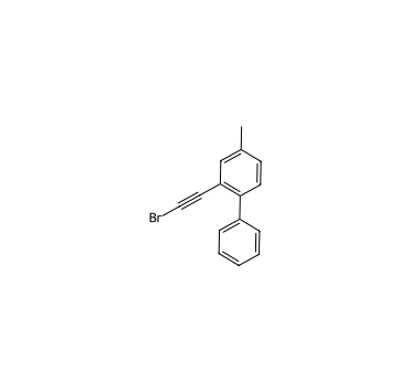 Cc1ccc(-c2ccccc2)c(C#CBr)c1